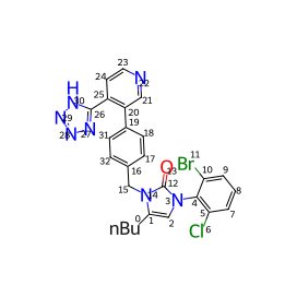 CCCCc1cn(-c2c(Cl)cccc2Br)c(=O)n1Cc1ccc(-c2cnccc2-c2nnn[nH]2)cc1